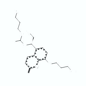 CCCCOc1ccc([C@H](CBr)OC(C)OCCCC)c2ccc(=O)[nH]c12